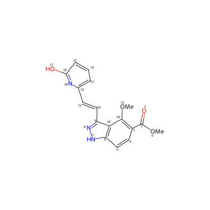 COC(=O)c1ccc2[nH]nc(C=Cc3cccc(O)n3)c2c1OC